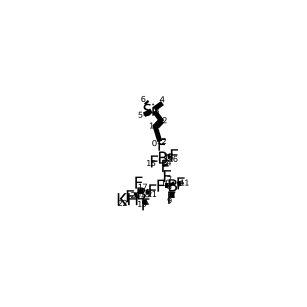 CC=C[Si](C)(C)C.F[B-](F)(F)F.F[B-](F)(F)F.F[B-](F)(F)F.[KH]